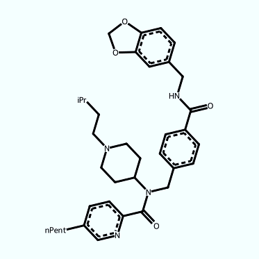 CCCCCc1ccc(C(=O)N(Cc2ccc(C(=O)NCc3ccc4c(c3)OCO4)cc2)C2CCN(CCC(C)C)CC2)nc1